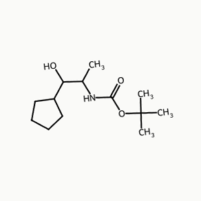 CC(NC(=O)OC(C)(C)C)C(O)C1CCCC1